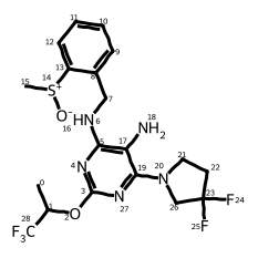 CC(Oc1nc(NCc2ccccc2[S+](C)[O-])c(N)c(N2CCC(F)(F)C2)n1)C(F)(F)F